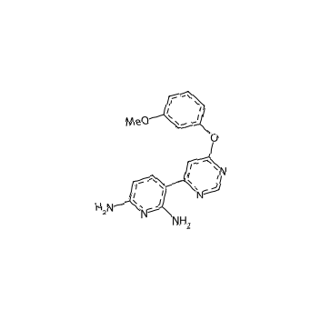 COc1cccc(Oc2cc(-c3ccc(N)nc3N)ncn2)c1